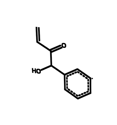 C=CC(=O)C(O)c1c[c]ccc1